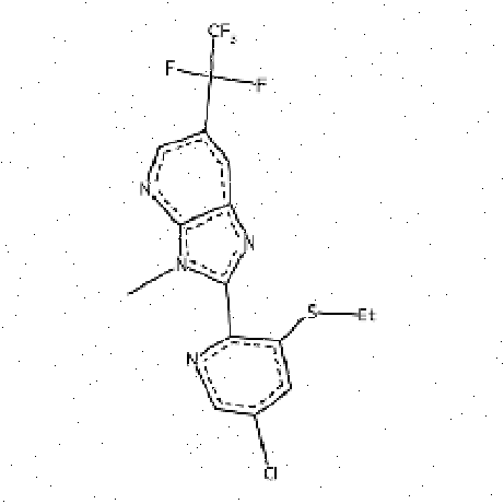 CCSc1cc(Cl)cnc1-c1nc2cc(C(F)(F)C(F)(F)F)cnc2n1C